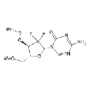 COC[C@H]1O[C@@H](n2cnc(N)nc2=O)C(F)(F)[C@@H]1OSC(C)C